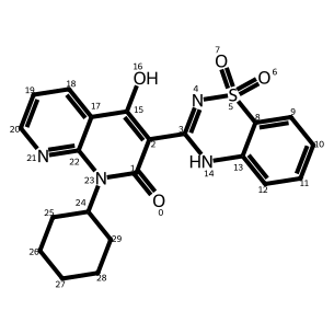 O=c1c(C2=NS(=O)(=O)c3ccccc3N2)c(O)c2cccnc2n1C1CCCCC1